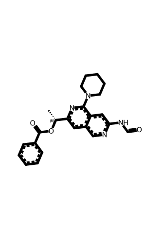 C[C@@H](OC(=O)c1ccccc1)c1cc2cnc(NC=O)cc2c(N2CCCCC2)n1